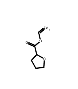 C=COC(=O)C1CCCO1